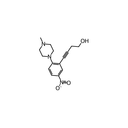 CN1CCN(c2ccc([N+](=O)[O-])cc2C#CCCO)CC1